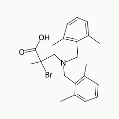 Cc1cccc(C)c1CN(Cc1c(C)cccc1C)CC(C)(Br)C(=O)O